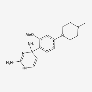 COc1cc(N2CCN(C)CC2)ccc1C1(N)C=CNC(N)=N1